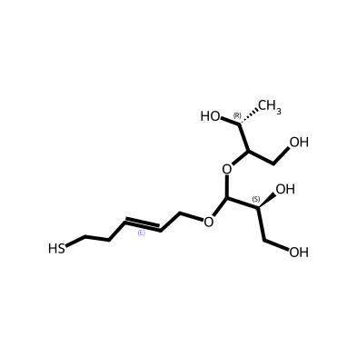 C[C@@H](O)C(CO)OC(OC/C=C/CCS)[C@@H](O)CO